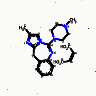 Cc1cn2c(n1)Cc1ccccc1N=C2N1CCN(C)CC1.O=C(O)/C=C\C(=O)O